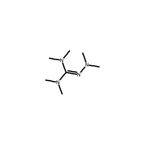 CN(C)N=C(N(C)C)N(C)C